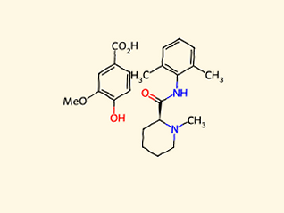 COc1cc(C(=O)O)ccc1O.Cc1cccc(C)c1NC(=O)[C@@H]1CCCCN1C